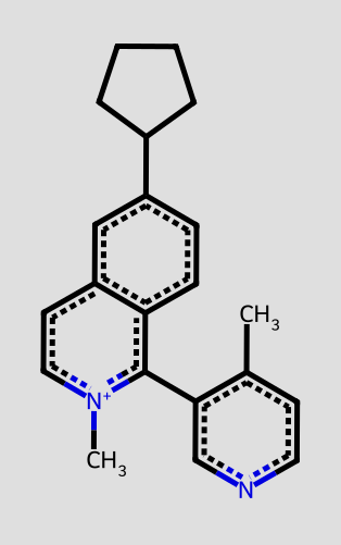 Cc1ccncc1-c1c2ccc(C3CCCC3)cc2cc[n+]1C